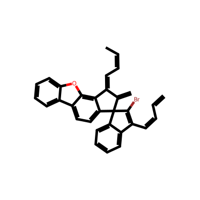 C=C/C=C\C1=C(Br)C2(C(=C)/C(=C\C=C/C)c3c2ccc2c3oc3ccccc32)c2ccccc21